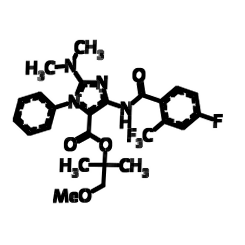 COCC(C)(C)OC(=O)c1c(NC(=O)c2ccc(F)cc2C(F)(F)F)nc(N(C)C)n1-c1ccccc1